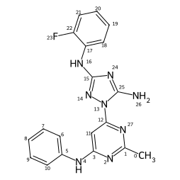 Cc1nc(Nc2ccccc2)cc(-n2nc(Nc3ccccc3F)nc2N)n1